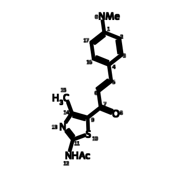 CNc1ccc(C=CC(=O)c2sc(NC(C)=O)nc2C)cc1